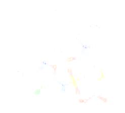 Cc1cc(C)c(NC(=O)c2csc(C(=O)O)c2S(=O)(=O)Nc2onc(C)c2Cl)c(C)c1